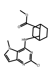 COC(=O)C1C2CCC(CC2)C1Nc1nc(Cl)nc2ccn(C)c12